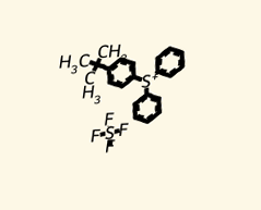 CC(C)(C)c1ccc([S+](c2ccccc2)c2ccccc2)cc1.FS(F)(F)F